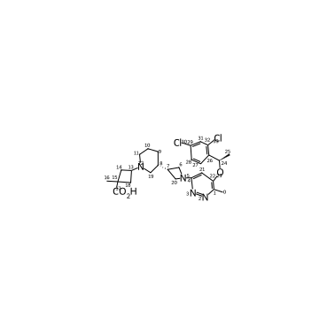 Cc1nnc(N2CC([C@H]3CCCN(C4CC(C)(C(=O)O)C4)C3)C2)cc1O[C@H](C)c1ccc(Cl)cc1Cl